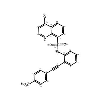 O=C(O)c1ccc(C#Cc2ccccc2NS(=O)(=O)c2cccc3c(Cl)ccnc23)cn1